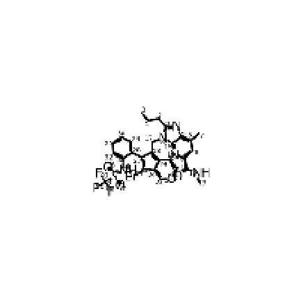 CCCc1nc2c(C)cc(C(=O)NC)nc2n1Cc1c2ccocc-2c(Br)c1-c1ccccc1NS(=O)(=O)C(F)(F)F